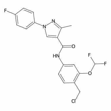 Cc1nn(-c2ccc(F)cc2)cc1C(=O)Nc1ccc(CCl)c(OC(F)F)c1